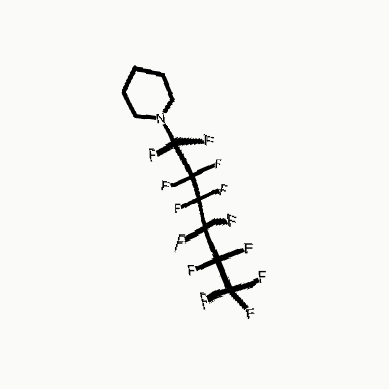 FC(F)(F)C(F)(F)C(F)(F)C(F)(F)C(F)(F)C(F)(F)N1CCCCC1